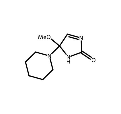 COC1(N2CCCCC2)C=NC(=O)N1